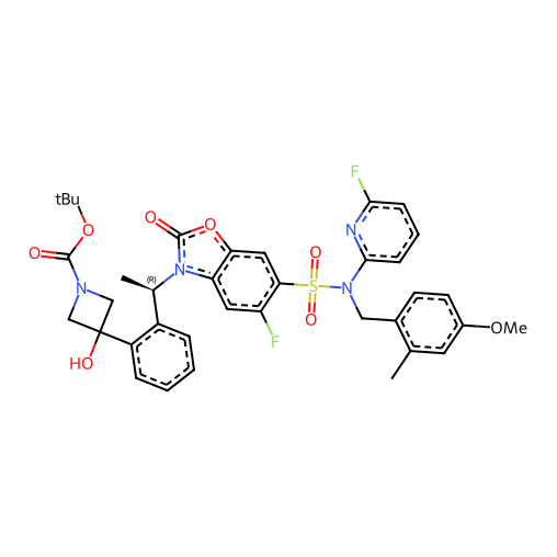 COc1ccc(CN(c2cccc(F)n2)S(=O)(=O)c2cc3oc(=O)n([C@H](C)c4ccccc4C4(O)CN(C(=O)OC(C)(C)C)C4)c3cc2F)c(C)c1